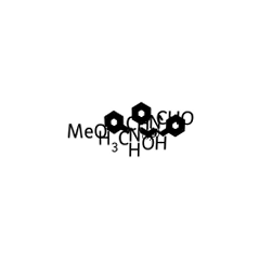 COc1cccc(C(C)(C)NC[C@H](O)[C@H](Cc2ccccc2)N(C=O)c2ccccc2)c1